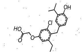 CCc1cc(OCC(=O)O)cc(Cl)c1Cc1ccc(O)c(C(C)C)c1